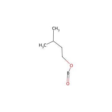 CC(C)CCOB=O